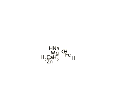 I.[CaH2].[Fe].[KH].[MgH2].[NaH].[Zn]